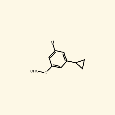 O=COc1cc(Cl)cc(C2CC2)c1